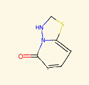 O=c1[c]ccc2n1NCS2